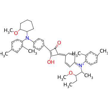 CCC(OC)C(C)[N+](=C1C=CC(=C2C(=O)C(c3ccc(N(c4ccc(C)cc4C)C4CCCCC4OC)cc3)=C2O)C=C1)c1ccc(C)cc1C